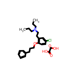 CCCN(CCC)CCc1cc(Cl)ccc1OCCCc1ccccc1.O=C(O)C(=O)O